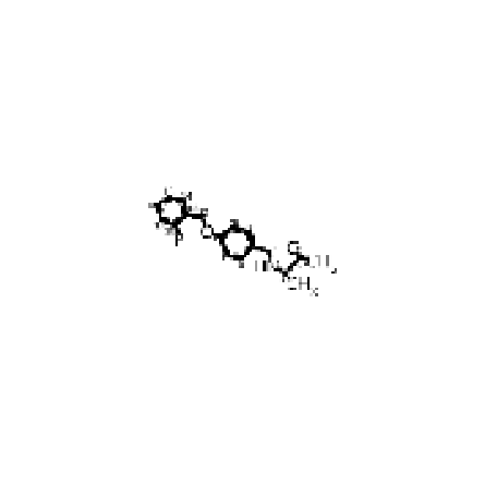 CC(=O)[C@H](C)NCc1ccc(OCc2ccccc2F)cc1